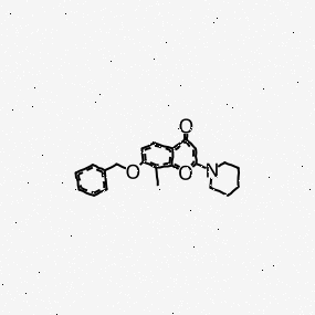 Cc1c(OCc2ccccc2)ccc2c(=O)cc(N3CCCCC3)oc12